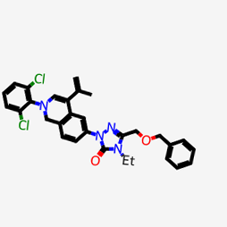 C=C(C)C1=CN(c2c(Cl)cccc2Cl)Cc2ccc(-n3nc(COCc4ccccc4)n(CC)c3=O)cc21